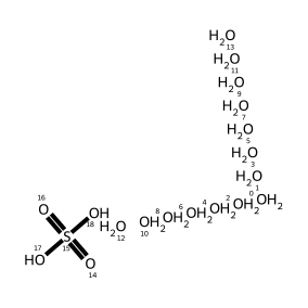 O.O.O.O.O.O.O.O.O.O.O.O.O.O.O=S(=O)(O)O